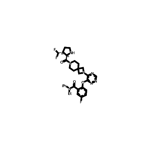 CCN(C(=O)c1cc(F)ccc1Oc1nncnc1N1CC2(CCN(C(=O)[C@@H]3NCC[C@H]3C(F)F)CC2)C1)C(C)C